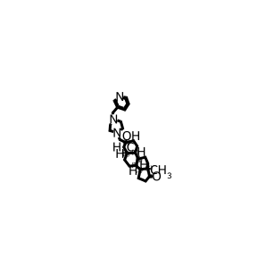 C[C@]12CC[C@](O)(CN3CCN(Cc4cccnc4)CC3)C[C@@H]1CC[C@@H]1[C@@H]2CC[C@]2(C)C(=O)CC[C@@H]12